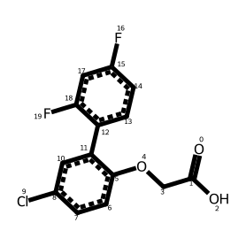 O=C(O)COc1ccc(Cl)cc1-c1ccc(F)cc1F